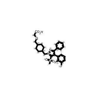 CS(=O)(=O)c1c(-c2cccc(F)c2F)c(-c2ccccc2)nn1CC1CCC(COCC(=O)O)CC1